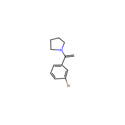 C=C(c1cccc(Br)c1)N1CCCC1